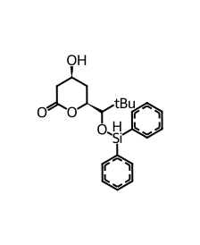 CC(C)(C)C(O[SiH](c1ccccc1)c1ccccc1)[C@@H]1C[C@H](O)CC(=O)O1